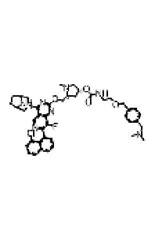 CN(C)Cc1ccc(COCCNC(=O)O[C@@H]2C[C@@H](COc3nc(N4CC5CCC(C4)N5)c4cnc(-c5cccc6cccc(Cl)c56)c(F)c4n3)N(C)C2)cc1